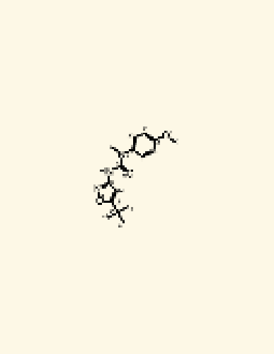 COc1ccc(N(C)C(=O)Nc2cc(C(C)(C)C)on2)cc1